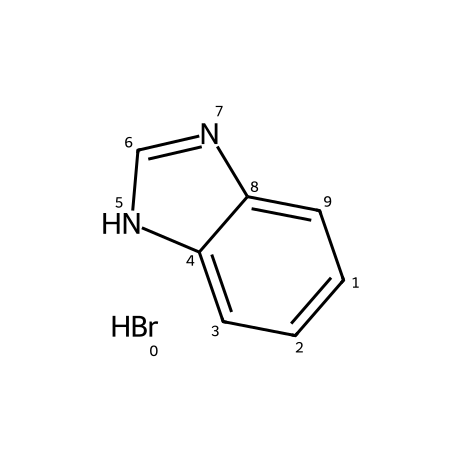 Br.c1ccc2[nH]cnc2c1